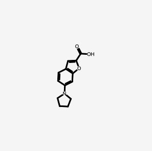 O=C(O)c1cc2ccc(N3CCCC3)cc2o1